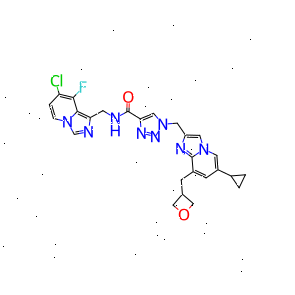 O=C(NCc1ncn2ccc(Cl)c(F)c12)c1cn(Cc2cn3cc(C4CC4)cc(CC4COC4)c3n2)nn1